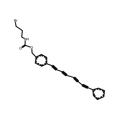 O=C(NCCCBr)OCc1ccc(C#CC#CC#CC#Cc2ccccc2)cc1